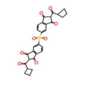 O=C1c2ccc(S(=O)(=O)c3ccc4c(c3)C(=O)C(C(=O)C3CCC3)C4=O)cc2C(=O)C1C(=O)C1CCC1